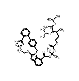 CCOc1nc2cccc(C(=O)OC(C)(C)OC(=O)OCCC(C)[C@@H](ON(O)O)[C@@H](C)ON(O)O)c2n1Cc1ccc(-c2ccccc2-c2nnn[nH]2)cc1